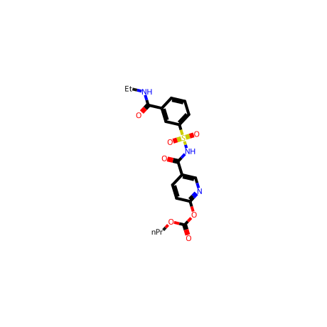 CCCOC(=O)Oc1ccc(C(=O)NS(=O)(=O)c2cccc(C(=O)NCC)c2)cn1